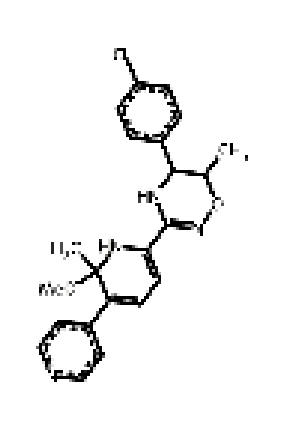 COC1(C)NC(C2=NOC(C)C(c3ccc(Cl)cc3)N2)=CC=C1c1ccncc1